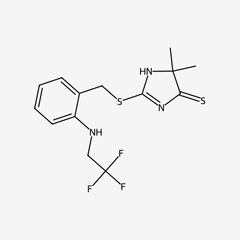 CC1(C)NC(SCc2ccccc2NCC(F)(F)F)=NC1=S